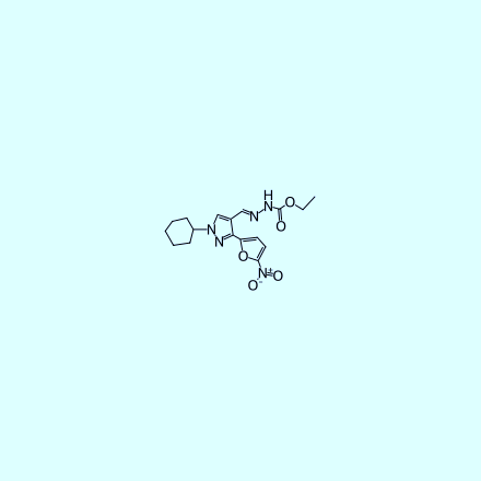 CCOC(=O)N/N=C/c1cn(C2CCCCC2)nc1-c1ccc([N+](=O)[O-])o1